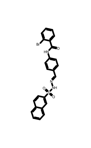 O=C(Nc1ccc(C=NNS(=O)(=O)c2ccc3ccccc3c2)cc1)c1ccccc1Br